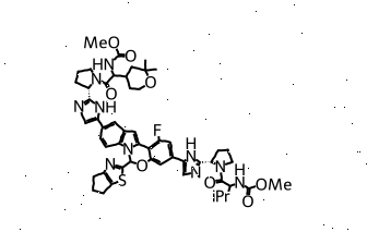 COC(=O)NC(C(=O)N1CCC[C@H]1c1ncc(-c2cc(F)c3c(c2)OC(c2nc4c(s2)CCC4)n2c-3cc3cc(-c4cnc([C@@H]5CCCN5C(=O)C(NC(=O)OC)C5CCOC(C)(C)C5)[nH]4)ccc32)[nH]1)C(C)C